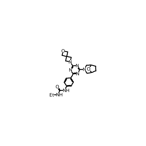 CCNC(=O)Nc1ccc(-c2nc(N3CC4CCC(C3)O4)nc(N3CC4(COC4)C3)n2)cc1